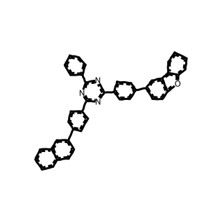 c1ccc(-c2nc(-c3ccc(-c4ccc5ccccc5c4)cc3)nc(-c3ccc(-c4ccc5oc6ccccc6c5c4)cc3)n2)cc1